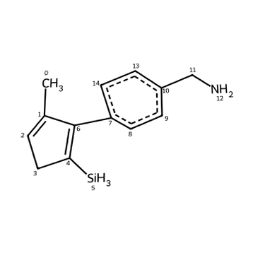 CC1=CCC([SiH3])=C1c1ccc(CN)cc1